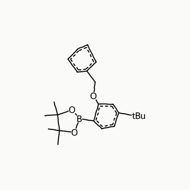 CC(C)(C)c1ccc(B2OC(C)(C)C(C)(C)O2)c(OCc2ccccc2)c1